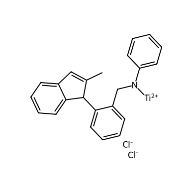 CC1=Cc2ccccc2C1c1ccccc1C[N]([Ti+2])c1ccccc1.[Cl-].[Cl-]